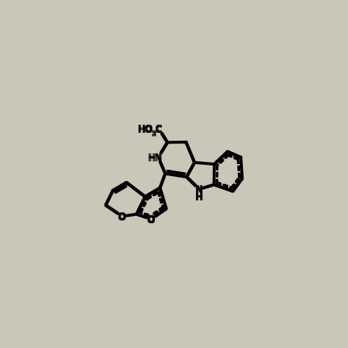 O=C(O)C1CC2C(=C(c3coc4c3C=CCO4)N1)Nc1ccccc12